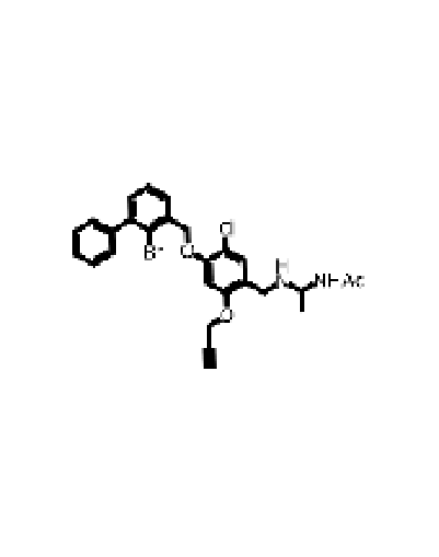 C#CCOc1cc(OCc2cccc(-c3ccccc3)c2Br)c(Cl)cc1CNC(C)NC(C)=O